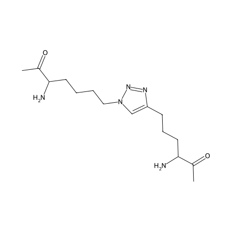 CC(=O)C(N)CCCCn1cc(CCCC(N)C(C)=O)nn1